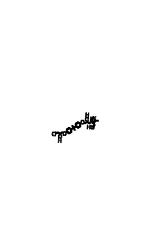 Cc1nnn(C[C@@H](O)COc2ccc(C(C)(C)c3ccc(OC[C@H](O)CCl)cc3)cc2)c1CO